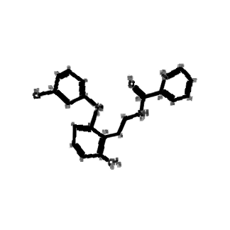 Cc1cccc([Se]c2cccc(Cl)c2)c1CCNC(=O)c1ccccn1